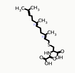 CC(C)=CCC/C(C)=C/CC/C(C)=C/CSCC(NC(=O)C(=O)O)C(=O)O